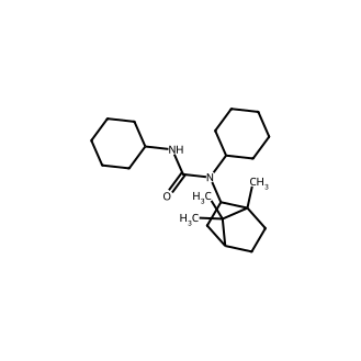 CC1(C)C2CCC1(C)C(N(C(=O)NC1CCCCC1)C1CCCCC1)C2